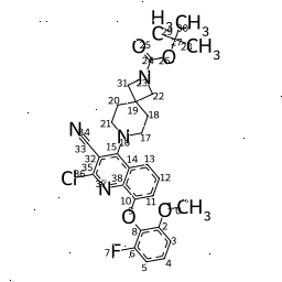 COc1cccc(F)c1Oc1cccc2c(N3CCC4(CC3)CN(C(=O)OC(C)(C)C)C4)c(C#N)c(Cl)nc12